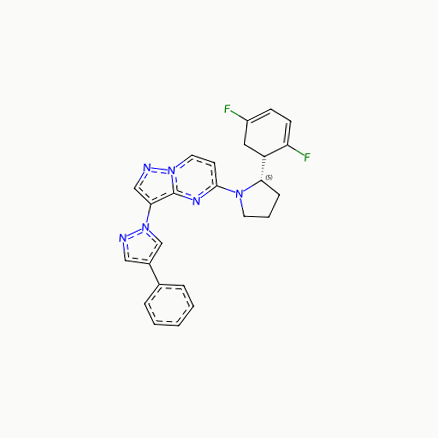 FC1=CC=C(F)C([C@@H]2CCCN2c2ccn3ncc(-n4cc(-c5ccccc5)cn4)c3n2)C1